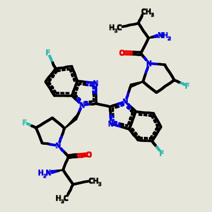 CC(C)[C@@H](N)C(=O)N1CC(F)C[C@H]1Cn1c(-c2nc3cc(F)ccc3n2C[C@@H]2CC(F)CN2C(=O)[C@H](N)C(C)C)nc2cc(F)ccc21